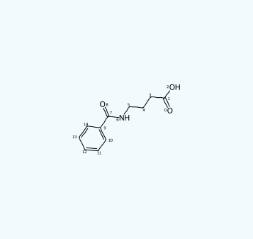 O=C(O)CCCNC(=O)c1ccccc1